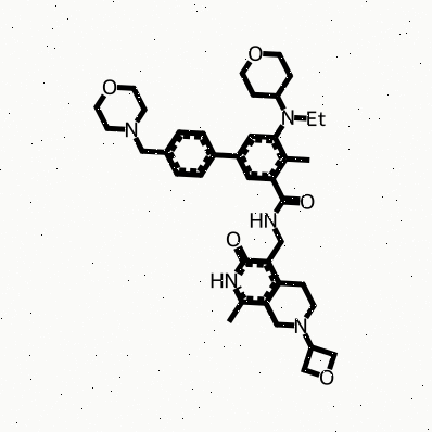 CCN(c1cc(-c2ccc(CN3CCOCC3)cc2)cc(C(=O)NCc2c3c(c(C)[nH]c2=O)CN(C2COC2)CC3)c1C)C1CCOCC1